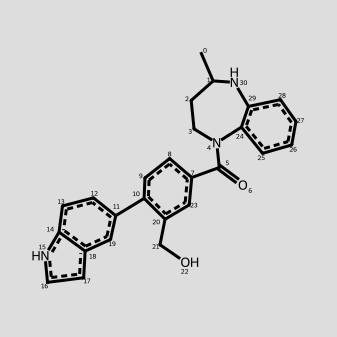 CC1CCN(C(=O)c2ccc(-c3ccc4[nH]ccc4c3)c(CO)c2)c2ccccc2N1